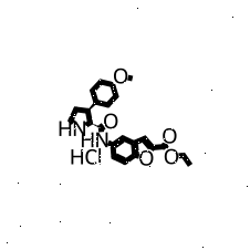 CCOC(=O)c1cc2cc(NC(=O)[C@@H]3NCC[C@H]3C3CCC(OC)CC3)ccc2o1.Cl